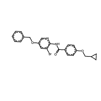 O=C(Nc1ncc(OCc2ccccc2)cc1Br)c1ccc(OCC2CC2)cc1